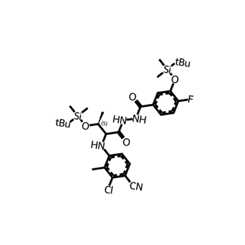 Cc1c(NC(C(=O)NNC(=O)c2ccc(F)c(O[Si](C)(C)C(C)(C)C)c2)[C@H](C)O[Si](C)(C)C(C)(C)C)ccc(C#N)c1Cl